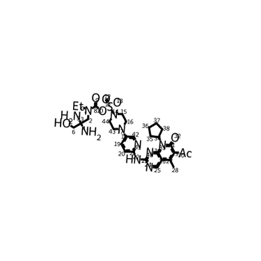 CCN(CC(N)(N)CO)C(=O)OS(=O)(=O)N1CCN(c2ccc(Nc3ncc4c(C)c(C(C)=O)c(=O)n(C5CCCC5)c4n3)nc2)CC1